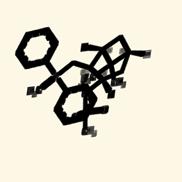 C=P(C[C@@H]1[C@@H](OS(C)(=O)=O)C[C@H]2C[C@@H]1C2(C)C)(c1ccccc1)c1ccccc1